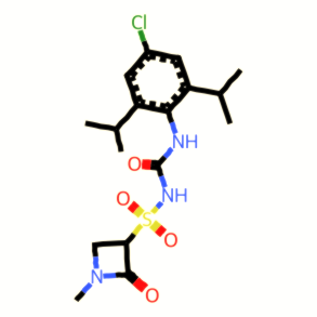 CC(C)c1cc(Cl)cc(C(C)C)c1NC(=O)NS(=O)(=O)C1CN(C)C1=O